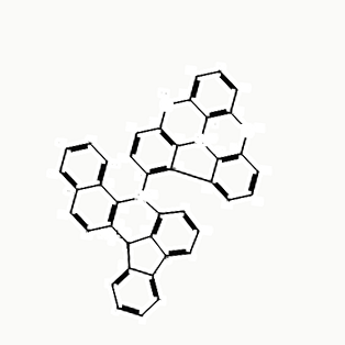 CC12c3ccccc3-c3cccc(c31)N(c1ccc3c4c1c1cccc5c1n4-c1c(cccc1O3)O5)c1c2ccc2ccccc12